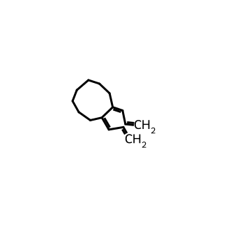 C=C/C=C1/CCCCCCC/C1=C/C=C